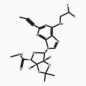 CC#Cc1nc(NCC(F)F)c2ncn([C@@H]3O[C@H](C(=O)NC)[C@H]4OC(C)(C)O[C@H]43)c2n1